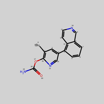 CC(C)(C)c1cc(-c2cccc3cnccc23)cnc1OC(N)=O